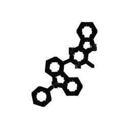 Cc1nc(-c2cccc3c2c2ccccc2n3-c2ccccc2)nc2c1sc1ccccc12